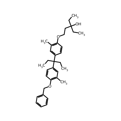 CCC(O)(CC)CCOc1ccc(C(CC)(CC)c2ccc(OCc3ccccc3)c(C)c2)cc1C